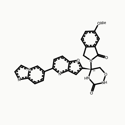 COc1ccc2c(c1)C(=O)N([C@]1(c3cc4nc(-c5ccc6nccn6c5)ccc4o3)CONC(=O)N1)C2